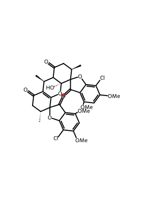 COc1cc(OC)c2c(c1Cl)OC1(C2=O)C2=C(C(=O)C[C@H]1C)[C@@H](C)C1C(=O)C[C@@H](C)C3(Oc4c(Cl)c(OC)cc(OC)c4C3=O)[C@@]1(O)O2